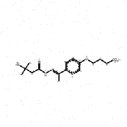 C/C(=N\NC(=O)CC(C)(C)S)c1ccc(OCCCC(=O)O)cn1